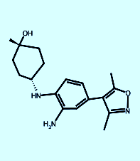 Cc1noc(C)c1-c1ccc(N[C@H]2CC[C@@](C)(O)CC2)c(N)c1